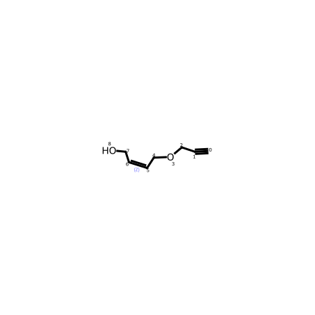 C#CCOC/C=C\CO